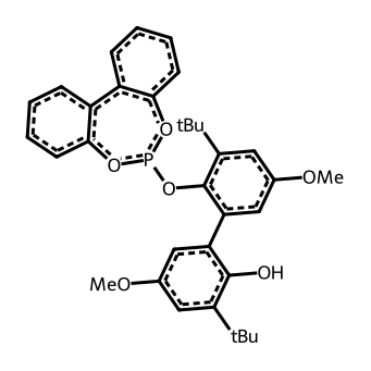 COc1cc(-c2cc(OC)cc(C(C)(C)C)c2Op2oc3ccccc3c3ccccc3o2)c(O)c(C(C)(C)C)c1